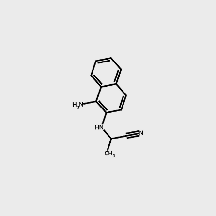 CC(C#N)Nc1ccc2ccccc2c1N